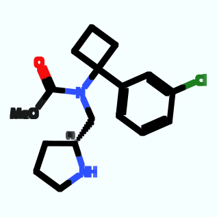 COC(=O)N(C[C@H]1CCCN1)C1(c2cccc(Cl)c2)CCC1